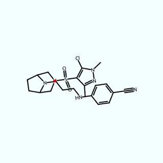 Cc1nn(C)c(Cl)c1S(=O)(=O)N1CC2CCC(C1)N2CCCNc1ccc(C#N)cc1